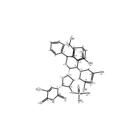 Cc1cn([C@@H]2O[C@H](C(OC(c3ccccc3)N(CC(=O)O)CC(=O)O)C(c3ccccc3)N(CC(=O)O)CC(=O)O)CC2OP(N)(=O)O)c(=O)[nH]c1=O